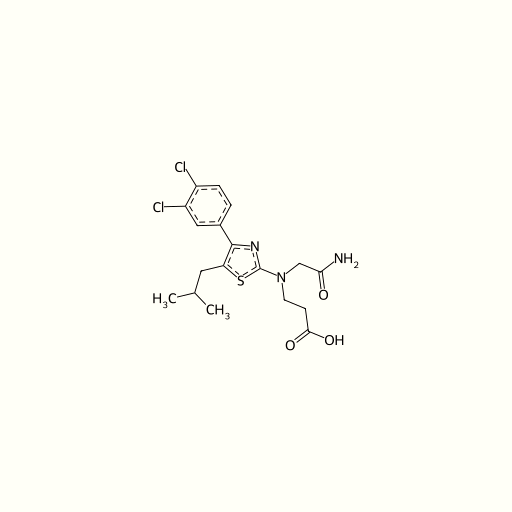 CC(C)Cc1sc(N(CCC(=O)O)CC(N)=O)nc1-c1ccc(Cl)c(Cl)c1